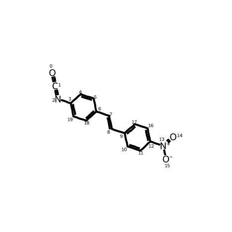 O=C=Nc1ccc(C=Cc2ccc([N+](=O)[O-])cc2)cc1